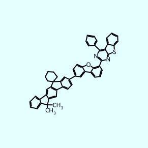 CC1(C)c2ccccc2-c2cc3c(cc21)-c1ccc(-c2ccc4oc5c(-c6nc(-c7ccccc7)c7c(n6)sc6ccccc67)cccc5c4c2)cc1C31CCCCC1